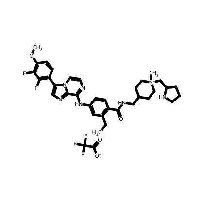 CCc1cc(Nc2nccn3c(-c4ccc(OC)c(F)c4F)cnc23)ccc1C(=O)NCC1CC[N+](C)(CC2CCCN2)CC1.O=C([O-])C(F)(F)F